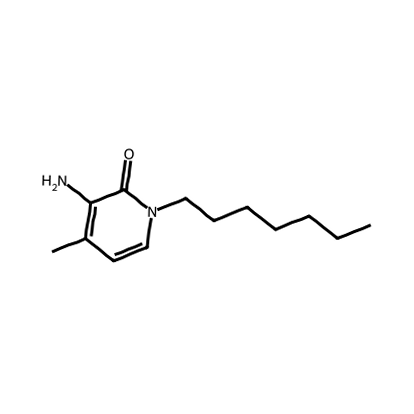 CCCCCCCn1ccc(C)c(N)c1=O